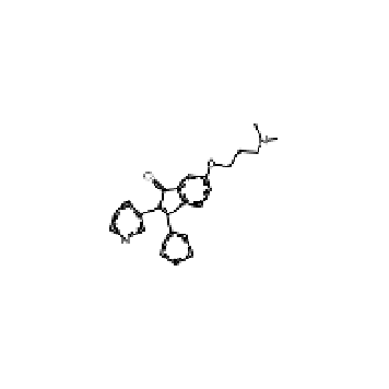 CN(C)CCCOc1ccc2c(c1)C(=O)C(c1cccnc1)=C2c1ccccc1